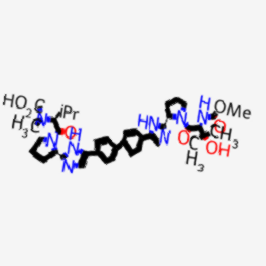 COC(=O)N[C@H](C(=O)N1CCC[C@H]1c1ncc(-c2ccc(-c3ccc(-c4cnc([C@@H]5CCCN5C(=O)[C@H](C(C)C)N(C)C(=O)O)[nH]4)cc3)cc2)[nH]1)C(C)(C)O